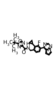 CC(C)(C)c1nc(C(=O)NCc2ccc(-c3ncnn4cccc34)c(F)c2C2CC2)no1